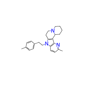 Cc1ccc(CCn2c3c(c4nc(C)ccc42)C2CCCCN2CC3)cc1